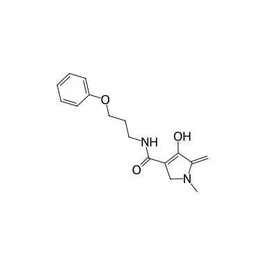 C=C1C(O)=C(C(=O)NCCCOc2ccccc2)CN1C